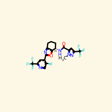 Cn1nc(C(F)(F)F)cc1C(=O)N[C@H]1CCCc2nc(-c3cc(C(F)(F)F)ncc3F)oc21